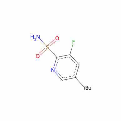 CCC(C)c1cnc(S(N)(=O)=O)c(F)c1